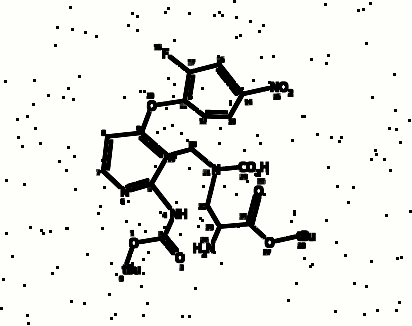 CC(C)(C)OC(=O)Nc1nccc(Oc2ccc([N+](=O)[O-])cc2F)c1CN(CC(N)C(=O)OC(C)(C)C)C(=O)O